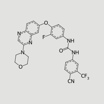 N#Cc1ccc(NC(=O)Nc2ccc(Oc3ccc4ncc(N5CCOCC5)nc4c3)c(F)c2)cc1C(F)(F)F